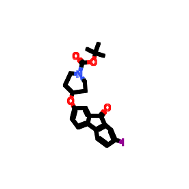 CC(C)(C)OC(=O)N1CCC(Oc2ccc3c(c2)C(=O)c2cc(I)ccc2-3)CC1